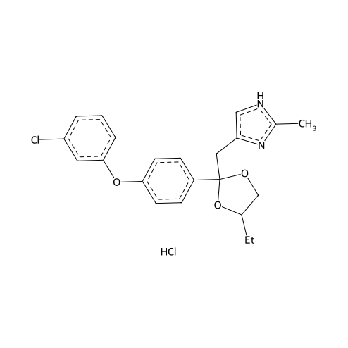 CCC1COC(Cc2c[nH]c(C)n2)(c2ccc(Oc3cccc(Cl)c3)cc2)O1.Cl